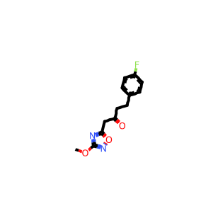 COc1noc(CC(=O)CCc2ccc(F)cc2)n1